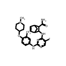 CN1CCC(Oc2ccc(Nc3ncc(F)c(NC4C5C=CC(C5)C4C(N)=O)n3)cc2C(F)(F)F)CC1